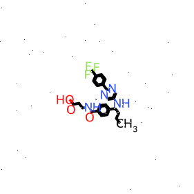 CCCC(Nc1cnc(-c2ccc(C(F)(F)F)cc2)nc1)c1ccc(C(=O)NCCC(=O)O)cc1